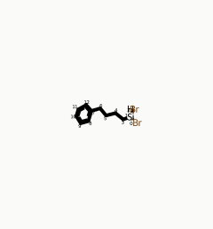 Br[SiH](Br)CCCCc1ccccc1